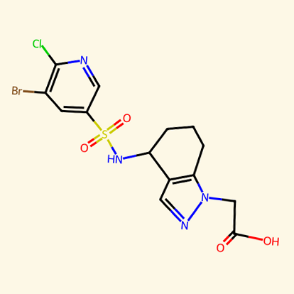 O=C(O)Cn1ncc2c1CCCC2NS(=O)(=O)c1cnc(Cl)c(Br)c1